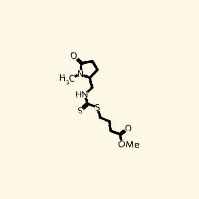 COC(=O)CCCSC(=S)NCC1CCC(=O)N1C